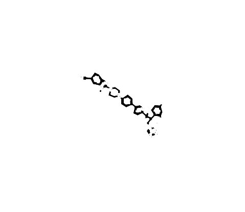 Cn1c(N2CCN(c3ccc(-c4ccc(C(F)(F)[C@](O)(Cn5cnnn5)c5ccc(F)cc5F)nc4)cc3)CC2)nc2ccc(C#N)cc21